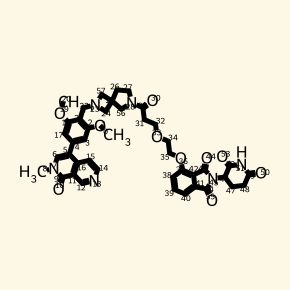 COc1cc(-c2cn(C)c(=O)c3cnccc23)cc(OC)c1CN1CC2(CCN(C(=O)CCOCCOc3cccc4c3C(=O)N(C3CCC(=O)NC3=O)C4=O)C2)C1